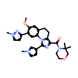 COc1cc2c(cc1-c1ccn(C)n1)-n1c(-c3ccn(C)c3)nc(C(=O)N3CCOCC3(C)C)c1CC2